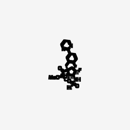 CCS(=O)(=O)N[C@@H]1C[C@@](Cc2cc(-c3ncccn3)ccc2F)(C(=O)N(C)OC)C[C@@H]1F